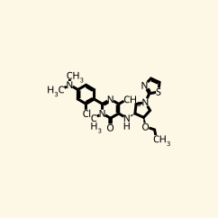 CCO[C@@H]1CN(c2nccs2)C[C@H]1Nc1c(C)nc(-c2ccc(N(C)C)cc2Cl)n(C)c1=O